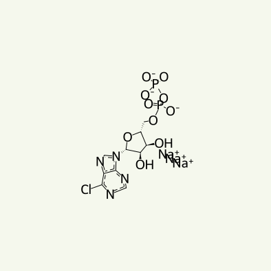 O=P([O-])([O-])OP(=O)([O-])OC[C@H]1O[C@@H](n2cnc3c(Cl)ncnc32)[C@H](O)[C@@H]1O.[Na+].[Na+].[Na+]